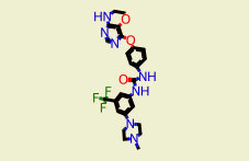 CN1CCN(c2cc(NC(=O)Nc3ccc(Oc4ncnc5c4OCCN5)cc3)cc(C(F)(F)F)c2)CC1